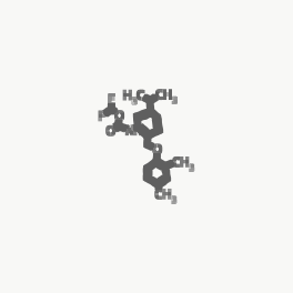 Cc1ccc(OCc2ccc(C(C)C)cc2NC(=O)OC(F)F)c(C)c1